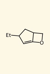 CCC1C=C2OCC2C1